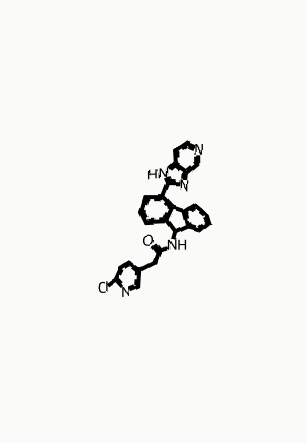 O=C(Cc1ccc(Cl)nc1)NC1c2ccccc2-c2c(-c3nc4cnccc4[nH]3)cccc21